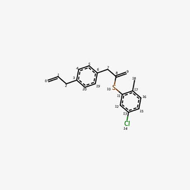 C=CCc1ccc(CC(=C)Sc2cc(Cl)ccc2C)cc1